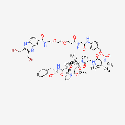 CC[C@H](C)[C@@H]([C@@H](CC(=O)N1CCC[C@H]1[C@H](OC)[C@@H](C)C(=O)N[C@H](C=O)Cc1ccccc1)OC)N(C)C(=O)CNC(=O)C(C(C)C)N(C)C(=O)OCc1ccc(NC(=O)CNC(=O)CCOCCOCCNC(=O)c2ccc3nc(CBr)c(CBr)nc3c2)cc1